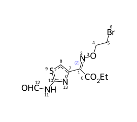 CCOC(=O)/C(=N\OCCBr)c1csc(NC=O)n1